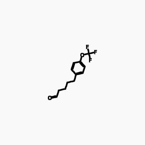 O=CCCCCc1ccc(OC(F)(F)F)cc1